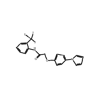 O=C(COc1ccc(-n2cccc2)cc1)Nc1ccccc1C(F)(F)F